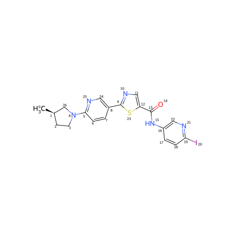 C[C@@H]1CCN(c2ccc(-c3ncc(C(=O)Nc4ccc(I)nc4)s3)cn2)C1